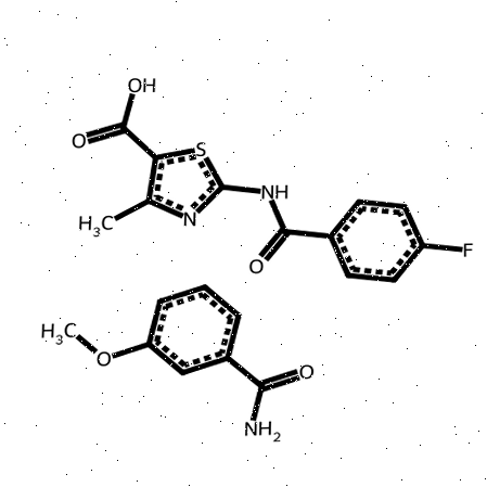 COc1cccc(C(N)=O)c1.Cc1nc(NC(=O)c2ccc(F)cc2)sc1C(=O)O